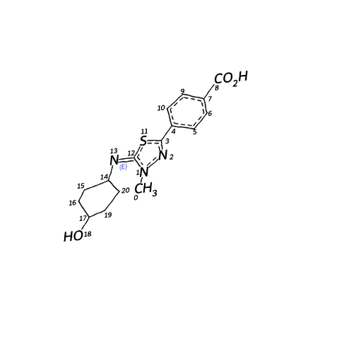 Cn1nc(-c2ccc(C(=O)O)cc2)s/c1=N/C1CCC(O)CC1